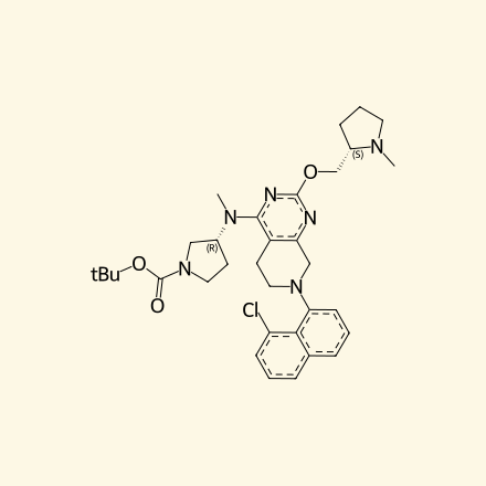 CN1CCC[C@H]1COc1nc2c(c(N(C)[C@@H]3CCN(C(=O)OC(C)(C)C)C3)n1)CCN(c1cccc3cccc(Cl)c13)C2